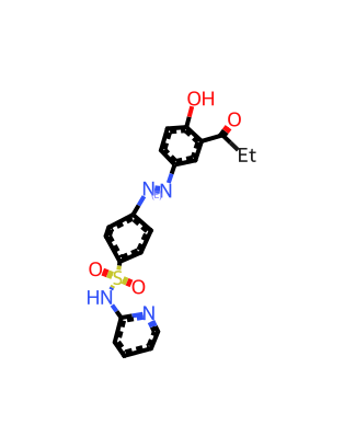 CCC(=O)c1cc(/N=N/c2ccc(S(=O)(=O)Nc3ccccn3)cc2)ccc1O